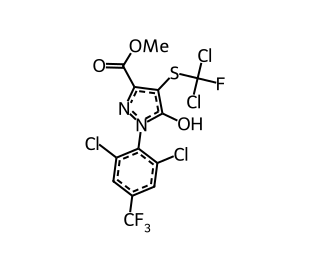 COC(=O)c1nn(-c2c(Cl)cc(C(F)(F)F)cc2Cl)c(O)c1SC(F)(Cl)Cl